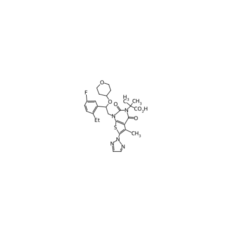 CCc1ccc(F)cc1C(Cn1c(=O)n(C(C)(C)C(=O)O)c(=O)c2c(C)c(-n3nccn3)sc21)OC1CCOCC1